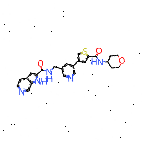 O=C(NCc1cncc(-c2csc(C(=O)NC3CCOCC3)c2)c1)c1cc2ccncc2[nH]1